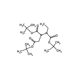 CCN(C(=O)OC(C)(C)C)N(CC(=O)OC(C)(C)C)C(=O)OC(C)(C)C